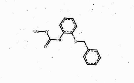 CC(C)(C)OC(=O)Nc1ccccc1OCc1ccccc1